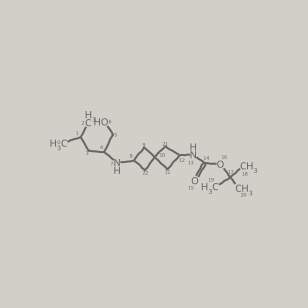 CC(C)CC(CO)NC1CC2(CC(NC(=O)OC(C)(C)C)C2)C1